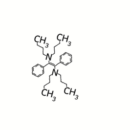 CCCCN(CCCC)C(=C(c1ccccc1)N(CCCC)CCCC)c1ccccc1